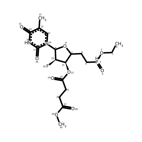 CCO[PH](=O)CCC1OC(n2cc(C)c(=O)[nH]c2=O)[C@H](F)[C@@H]1OC(=O)CCC(=O)OC